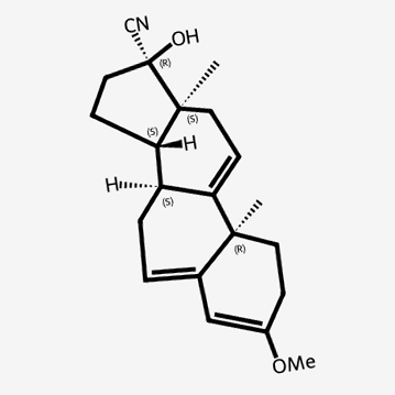 COC1=CC2=CC[C@@H]3C(=CC[C@@]4(C)[C@H]3CC[C@]4(O)C#N)[C@@]2(C)CC1